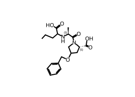 CCCC(N[C@@H](C)C(=O)N1CC(OCc2ccccc2)C[C@H]1C(=O)O)C(=O)O